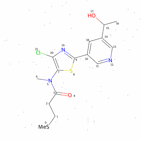 CSCCC(=O)N(C)c1sc(-c2cncc(C(C)O)c2)nc1Cl